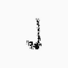 [N-]=[N+]=NCCOCCOCCOCCOCCS(=O)(=O)c1cccc2c1CN(C1CCC(=O)NC1=O)C2=O